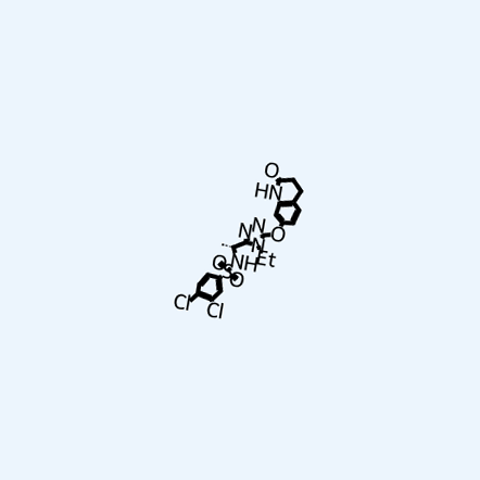 CCn1c(Oc2ccc3c(c2)NC(=O)CC3)nnc1[C@@H](C)NS(=O)(=O)c1ccc(Cl)c(Cl)c1